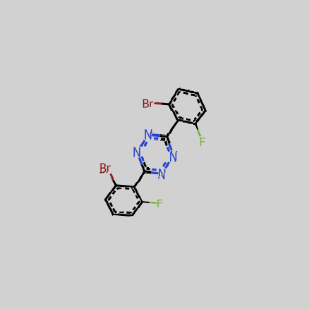 Fc1cccc(Br)c1-c1nnc(-c2c(F)cccc2Br)nn1